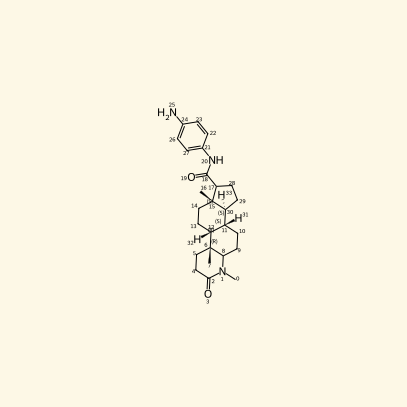 CN1C(=O)CC[C@@]2(C)C1CC[C@@H]1[C@H]2CC[C@]2(C)C(C(=O)Nc3ccc(N)cc3)CC[C@@H]12